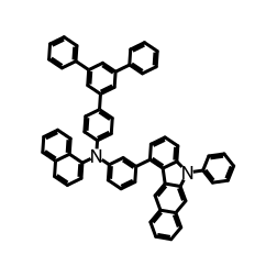 c1ccc(-c2cc(-c3ccccc3)cc(-c3ccc(N(c4cccc(-c5cccc6c5c5cc7ccccc7cc5n6-c5ccccc5)c4)c4cccc5ccccc45)cc3)c2)cc1